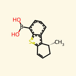 C[C@@H]1CC=Cc2sc3c(B(O)O)cccc3c21